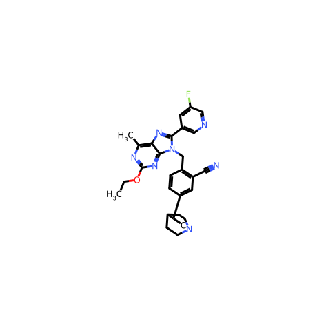 CCOc1nc(C)c2nc(-c3cncc(F)c3)n(Cc3ccc(C4CN5CCC4CC5)cc3C#N)c2n1